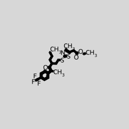 CCCCC(CCSc1nc(C)c(CC(=O)OCC)s1)c1oc2cc(C(F)(F)F)ccc2c1C